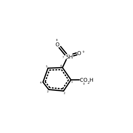 O=C(O)c1ccccc1[SH](=O)=O